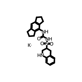 O=C(Nc1c2c(cc3c1CCC3)CCC2)NS(=O)(=O)C1CNc2ccccc2C1.[K]